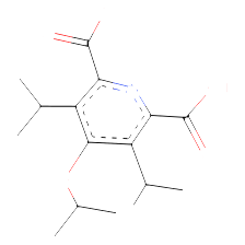 CC(C)Oc1c(C(C)C)c(C(=O)O)nc(C(=O)O)c1C(C)C